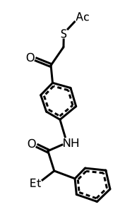 CCC(C(=O)Nc1ccc(C(=O)CSC(C)=O)cc1)c1ccccc1